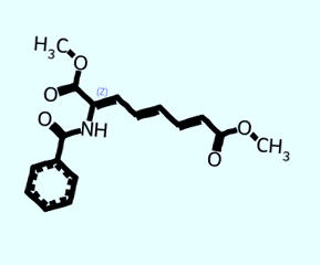 COC(=O)C=CC=C/C=C(\NC(=O)c1ccccc1)C(=O)OC